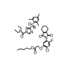 CCCCCOC(=O)COc1cc(N2C(=O)C3=C(CCCC3)C2=O)c(F)cc1Cl.CCN(CC)C(=O)n1cnc(S(=O)(=O)c2c(C)cc(C)cc2C)n1